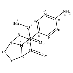 CC(C)(C)OC(=O)N1C2CCC1C(=O)N(c1ccc(N)nc1)C2